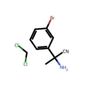 CC(N)(C#N)c1cccc(Br)c1.ClCCl